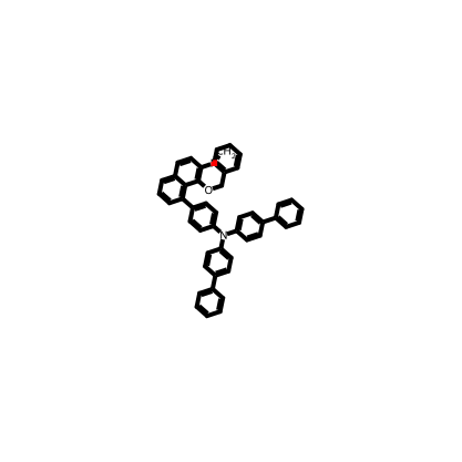 C=Nc1ccc2cccc(-c3ccc(N(c4ccc(-c5ccccc5)cc4)c4ccc(-c5ccccc5)cc4)cc3)c2c1OCC1=CCCC=C1